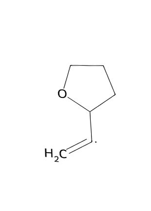 C=[C]C1CCCO1